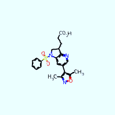 Cc1noc(C)c1-c1cnc2c(c1)N(S(=O)(=O)c1ccccc1)CC2CCC(=O)O